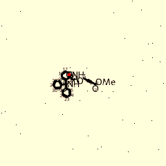 COC(=O)C#CCOC1NC(=O)C1NC(c1ccccc1)(c1ccccc1)c1ccccc1